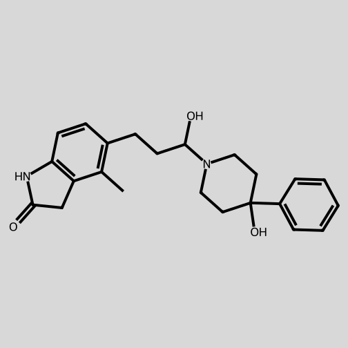 Cc1c(CCC(O)N2CCC(O)(c3ccccc3)CC2)ccc2c1CC(=O)N2